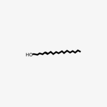 CCCCCCCCCCCC/C=C/CCCCO